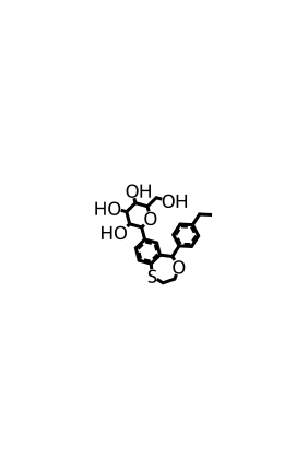 CCc1ccc(C2OCCSc3ccc(C4OC(CO)C(O)C(O)C4O)cc32)cc1